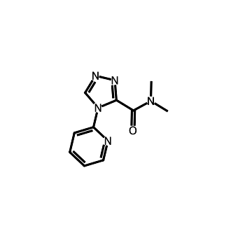 CN(C)C(=O)c1nncn1-c1ccccn1